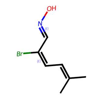 CC(C)=C/C=C(Br)\C=N\O